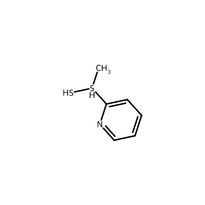 C[SH](S)c1ccccn1